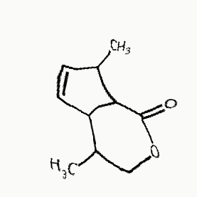 CC1C=CC2C(C)COC(=O)C12